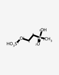 CP(=O)(O)CCOS(=O)(=O)O